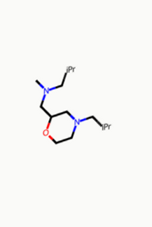 CC(C)CN(C)CC1CN(CC(C)C)CCO1